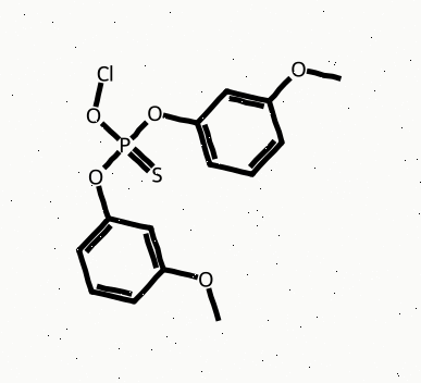 COc1cccc(OP(=S)(OCl)Oc2cccc(OC)c2)c1